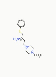 N[C@H](CCN1CCN(C(=O)O)CC1)CSc1ccccc1